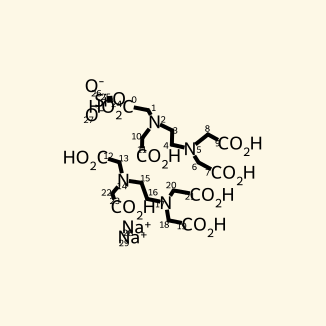 O=C(O)CN(CCN(CC(=O)O)CC(=O)O)CC(=O)O.O=C(O)CN(CCN(CC(=O)O)CC(=O)O)CC(=O)O.O=[Si]([O-])[O-].[Na+].[Na+]